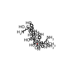 CC(N)C(=O)NC(CCCCN)C(=O)N1CCCC1C(=O)NC(CO)C(=O)NC(Cc1ccc(O)cc1)C(=O)N1CC(O)CC1C(=O)N1CC(O)CC1C(=O)NC(C(=O)NC(Cc1ccc(O)cc1)C(=O)NC(CCCCN)C(=O)O)C(C)O